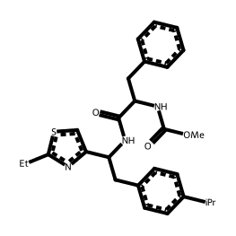 CCc1nc(C(Cc2ccc(C(C)C)cc2)NC(=O)C(Cc2ccccc2)NC(=O)OC)cs1